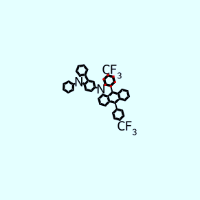 FC(F)(F)c1ccc(-c2c3ccccc3c(-c3ccc(C(F)(F)F)cc3)c3c(N(c4ccccc4)c4ccc5c(c4)c4ccccc4n5-c4ccccc4)cccc23)cc1